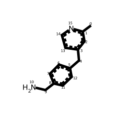 Cc1cc(Cc2ccc(CN)cc2)ccn1